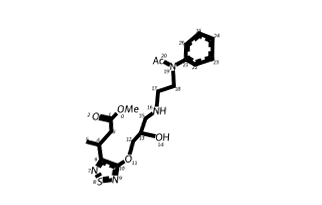 COC(=O)CC(C)c1nsnc1OCC(O)CNCCN(C(C)=O)c1ccccc1